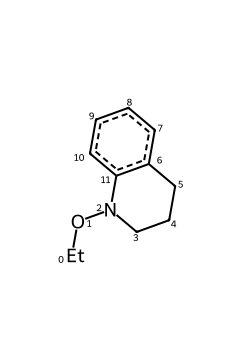 CCON1CCCc2ccccc21